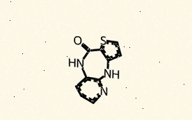 O=C1Nc2cccnc2Nc2ccsc21